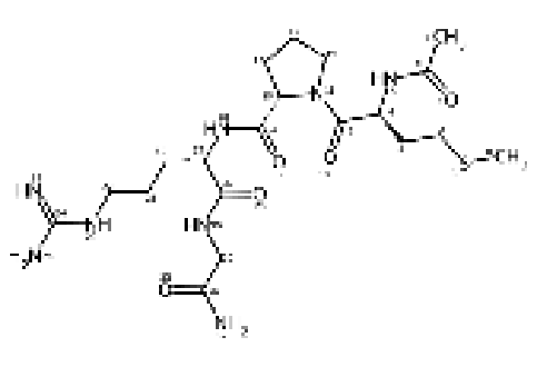 CSCC[C@H](NC(C)=O)C(=O)N1CCC[C@H]1C(=O)N[C@@H](CCCNC(=N)N)C(=O)NCC(N)=O